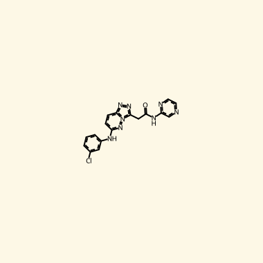 O=C(Cc1nnc2ccc(Nc3cccc(Cl)c3)nn12)Nc1cnccn1